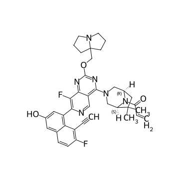 C#Cc1c(F)ccc2cc(O)cc(-c3ncc4c(N5C[C@H]6CC(C)(C)[C@@H](C5)N6C(=O)C=C)nc(OCC56CCCN5CCC6)nc4c3F)c12